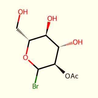 CC(=O)O[C@H]1C(Br)O[C@H](CO)[C@@H](O)[C@@H]1O